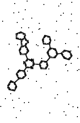 c1ccc(-c2ccc(-c3nc(-c4cccc(-c5cc(-c6ccccc6)cc(-c6ccccc6)c5)c4)nc(-c4ccc5c(c4)sc4ccccc45)n3)cc2)cc1